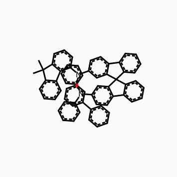 CC1(C)c2ccccc2-c2c(N(c3cccc(-c4ccccc4)c3)c3ccc4c(c3)C3(c5ccccc5-c5ccc(N(c6ccccc6)c6ccccc6)cc53)c3ccccc3-4)cccc21